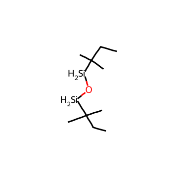 CCC(C)(C)[SiH2]O[SiH2]C(C)(C)CC